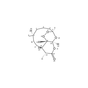 C[C@H]1CCC[C@]2(C)OO[C@@H]3[C@H](OC(=O)[C@H](C)[C@@H]3CC1)O2